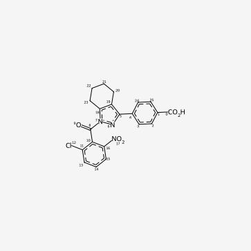 O=C(O)c1ccc(-c2nn(C(=O)c3c(Cl)cccc3[N+](=O)[O-])c3c2CCCC3)cc1